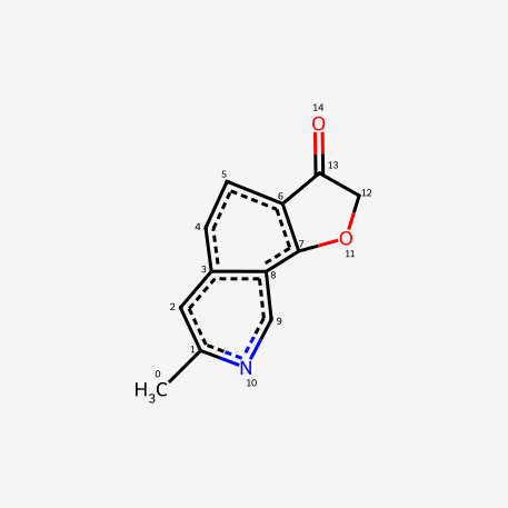 Cc1cc2ccc3c(c2cn1)OCC3=O